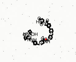 COC(=O)C1(NCCN2CCC(CN3CCC(c4ccc5c(c4)CN(C4CCC(=O)NC4=O)C5=O)CC3)CC2)CCN(Cc2ccc(CNc3nc4c(c(NC5(CO)CCC5)n3)[S@+]([O-])CC4)cc2)CC1